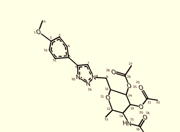 COc1ccc(-c2cn(CC3OC(C)C(NC(C)=O)C(OC(C)=O)C3OC(C)=O)nn2)cc1